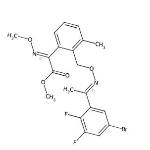 CO/N=C(/C(=O)OC)c1cccc(C)c1CO/N=C(\C)c1cc(Br)cc(F)c1F